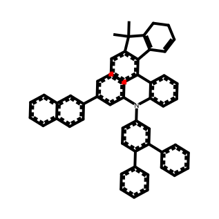 CC1(C)C2=C(C=CCC2)c2c(-c3ccccc3N(c3cccc(-c4ccc5ccccc5c4)c3)c3ccc(-c4ccccc4)c(-c4ccccc4)c3)cccc21